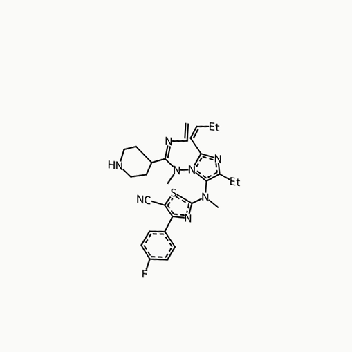 C=C/N=C(/C1CCNCC1)N(C)n1c(/C=C\CC)nc(CC)c1N(C)c1nc(-c2ccc(F)cc2)c(C#N)s1